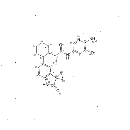 CCc1cc(NC(=O)C(=O)N2CCCCC2c2ccc3c(c2)C2(CC2)C(=O)N3)cnc1N